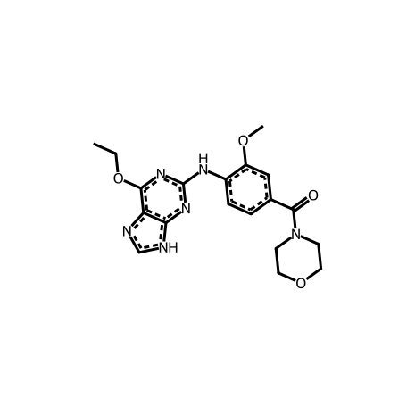 CCOc1nc(Nc2ccc(C(=O)N3CCOCC3)cc2OC)nc2[nH]cnc12